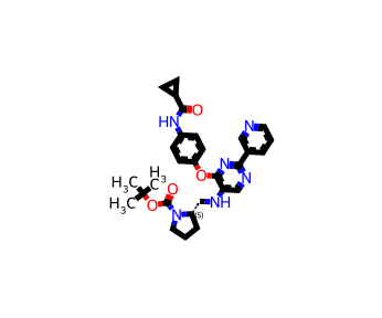 CC(C)(C)OC(=O)N1CCC[C@H]1CNc1cnc(-c2cccnc2)nc1Oc1ccc(NC(=O)C2CC2)cc1